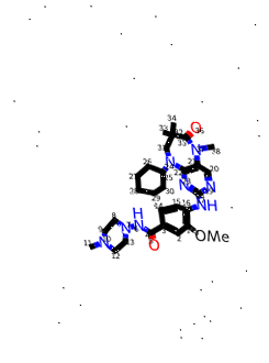 COc1cc(C(=O)NN2CCN(C)CC2)ccc1Nc1ncc2c(n1)N(C1CCCCC1)CC(C)(C)C(=O)N2C